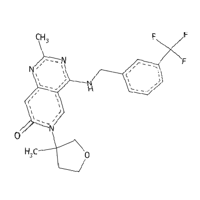 Cc1nc(NCc2cccc(C(F)(F)F)c2)c2cn(C3(C)CCOC3)c(=O)cc2n1